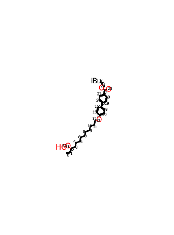 C=CC(CCCCCCCCCCOc1ccc(-c2ccc(C(=O)OCC(C)CC)cc2)cc1)OO